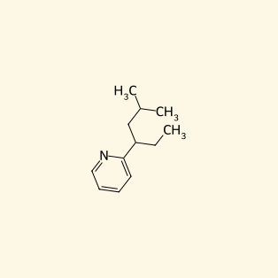 CCC(CC(C)C)c1ccccn1